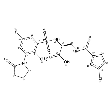 Cc1c(N2CCCC2=O)cc(F)cc1S(=O)(=O)N[C@@H](CNC(=O)c1ccc(Cl)s1)C(=O)O